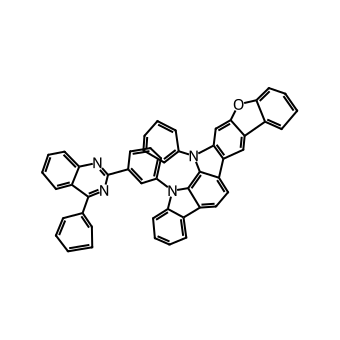 c1ccc(-c2nc(-c3cccc(-n4c5ccccc5c5ccc6c7cc8c(cc7n(-c7ccccc7)c6c54)oc4ccccc48)c3)nc3ccccc23)cc1